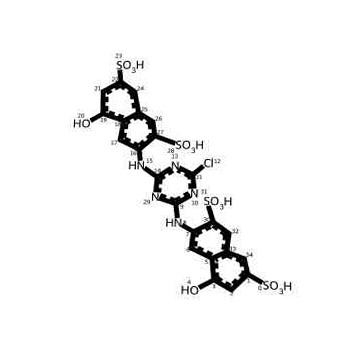 O=S(=O)(O)c1cc(O)c2cc(Nc3nc(Cl)nc(Nc4cc5c(O)cc(S(=O)(=O)O)cc5cc4S(=O)(=O)O)n3)c(S(=O)(=O)O)cc2c1